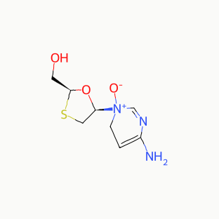 NC1=CC[N+]([O-])([C@H]2CS[C@@H](CO)O2)C=N1